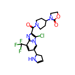 O=C(c1nc2c(C(F)(F)F)cc(C3CC=CN3)cn2c1Cl)N1CCC(N2CCOC2=O)CC1